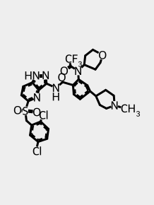 CN1CCC(c2ccc(C(=O)Nc3n[nH]c4ccc(S(=O)(=O)Cc5cc(Cl)ccc5Cl)nc34)c(N(C(=O)C(F)(F)F)C3CCOCC3)c2)CC1